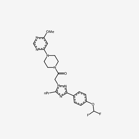 CCCc1nc(-c2ccc(OC(F)F)cc2)nn1CC(=O)N1CCN(c2cc(OC)ncn2)CC1